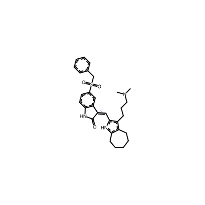 CN(C)CCCc1c(/C=C2\C(=O)Nc3ccc(S(=O)(=O)Cc4ccccc4)cc32)[nH]c2c1CCCCC2